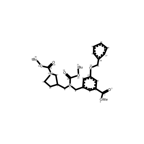 COC(=O)c1cc(CN(CC2CCN(C(=O)OC(C)(C)C)C2)C(=O)OC(C)(C)C)cc(OCc2ccccc2)c1